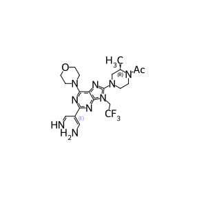 CC(=O)N1CCN(c2nc3c(N4CCOCC4)nc(/C(C=N)=C/N)nc3n2CC(F)(F)F)C[C@H]1C